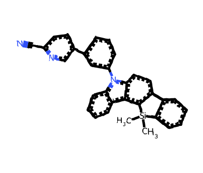 C[Si]1(C)c2ccccc2-c2ccc3c(c21)c1ccccc1n3-c1cccc(-c2ccc(C#N)nc2)c1